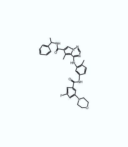 Cc1ccc(NC(=O)c2cc(F)cc(N3CCOCC3)c2)cc1Nc1ncnn2cc(C(=O)NC(C)c3ccccc3)c(C)c12